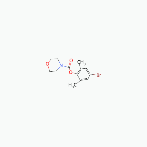 Cc1cc(Br)cc(C)c1OC(=O)N1CCOCC1